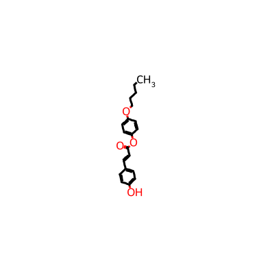 CCCCCOc1ccc(OC(=O)C=Cc2ccc(O)cc2)cc1